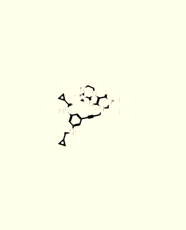 CN1C(=O)c2c(nc3n2CCN(C)S3(=O)=O)N(CC#Cc2cc(NC(=O)C3CC3)cc(NC(=O)C3CC3)c2)C1O